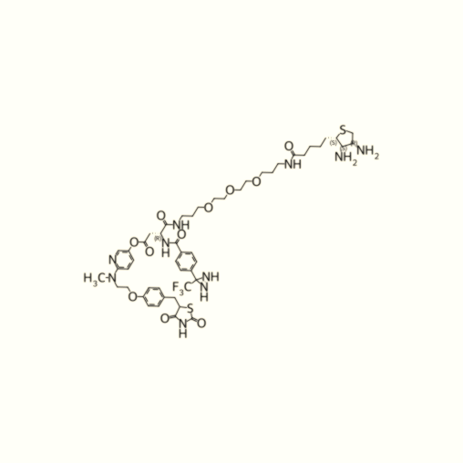 CN(CCOc1ccc(CC2SC(=O)NC2=O)cc1)c1ccc(OC(=O)C[C@@H](NC(=O)c2ccc(C3(C(F)(F)F)NN3)cc2)C(=O)NCCCOCCOCCOCCCNC(=O)CCCC[C@@H]2SC[C@H](N)[C@@H]2N)cn1